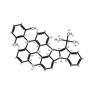 Cc1cccc(C)c1N1c2cccc3c2B2c4c1cccc4-n1c4c2c(ccc4n2c4ccccc4c(C(C)(C)C)c12)O3